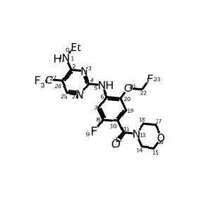 CCNc1nc(Nc2cc(F)c(C(=O)N3CCOCC3)cc2OCF)ncc1C(F)(F)F